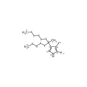 CCCCCCC(C)(CCCCC)c1n[nH]c(F)c1I